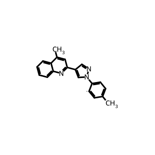 Cc1c[c]c(-n2cc(-c3cc(C)c4ccccc4n3)cn2)cc1